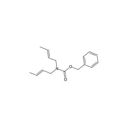 C/C=C/CN(C/C=C/C)C(=O)OCc1ccccc1